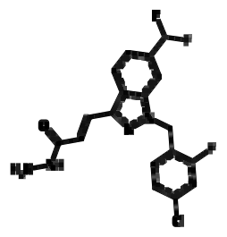 NNC(=O)C=Cc1nn(Cc2ccc(Cl)cc2F)c2cc(C(F)F)ccc12